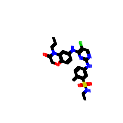 CCCN1C(=O)COc2ccc(Nc3nc(Nc4ccc(C)c(S(=O)(=O)NCC)c4)ncc3Cl)cc21